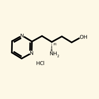 Cl.N[C@@H](CCO)Cc1ncccn1